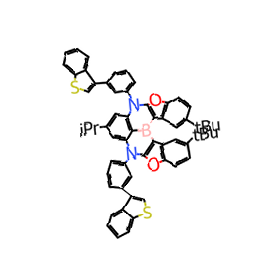 CC(C)c1cc2c3c(c1)N(c1cccc(-c4csc5ccccc45)c1)c1oc4ccc(C(C)(C)C)cc4c1B3c1c(oc3ccc(C(C)(C)C)cc13)N2c1cccc(-c2csc3ccccc23)c1